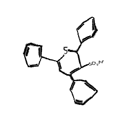 O=S(=O)(O)C1=C(c2ccccc2)C=C(c2ccccc2)SC1c1ccccc1